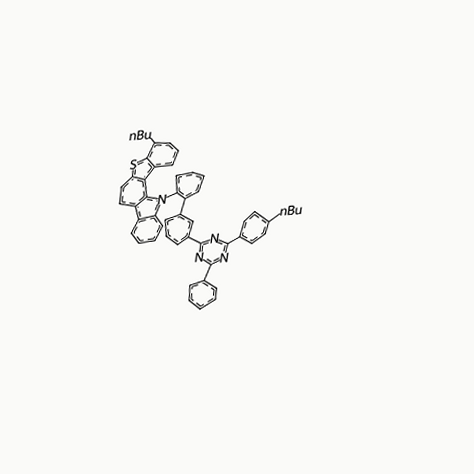 CCCCc1ccc(-c2nc(-c3ccccc3)nc(-c3cccc(-c4ccccc4-n4c5ccccc5c5ccc6sc7c(CCCC)cccc7c6c54)c3)n2)cc1